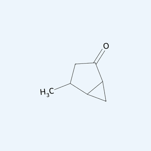 CC1CC(=O)C2CC12